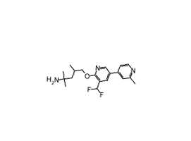 Cc1cc(-c2cnc(OCC(C)CC(C)(C)N)c(C(F)F)c2)ccn1